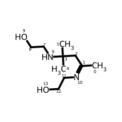 CC(CC(C)(C)NCCO)=NCCO